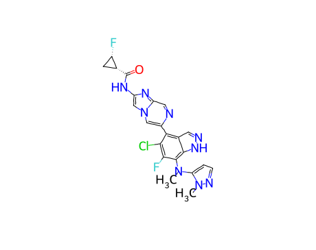 CN(c1c(F)c(Cl)c(-c2cn3cc(NC(=O)[C@@H]4C[C@@H]4F)nc3cn2)c2cn[nH]c12)c1ccnn1C